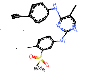 C#Cc1ccc(Nc2nc(Nc3ccc(C)c(S(=O)(=O)NC)c3)ncc2C)cc1